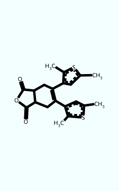 Cc1cc(C2=C(c3cc(C)sc3C)CC3C(=O)OC(=O)C3C2)c(C)s1